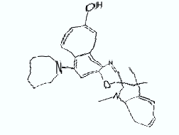 CN1C2CC=CC=C2C(C)(C)C12C=Nc1c(cc(N3CCCCC3)c3ccc(O)cc13)O2